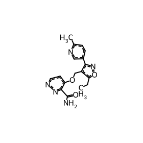 CCc1onc(-c2ccc(C)nc2)c1COc1ccnnc1C(N)=O